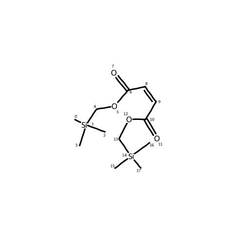 C[Si](C)(C)COC(=O)/C=C\C(=O)OC[Si](C)(C)C